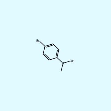 CB(O)c1ccc(Br)cc1